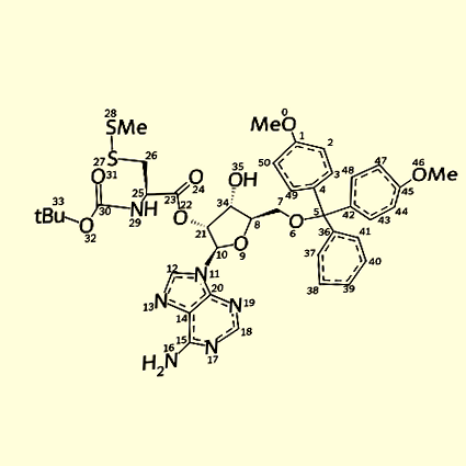 COc1ccc(C(OC[C@H]2O[C@@H](n3cnc4c(N)ncnc43)[C@H](OC(=O)[C@H](CSSC)NC(=O)OC(C)(C)C)[C@@H]2O)(c2ccccc2)c2ccc(OC)cc2)cc1